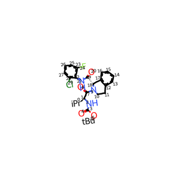 CC(C)[C@H](NC(=O)OC(C)(C)C)C(=O)N1CCc2ccccc2[C@H]1C(=O)Nc1c(F)cccc1Cl